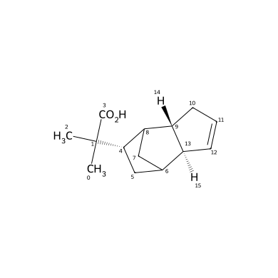 CC(C)(C(=O)O)[C@H]1CC2CC1[C@@H]1CC=C[C@@H]21